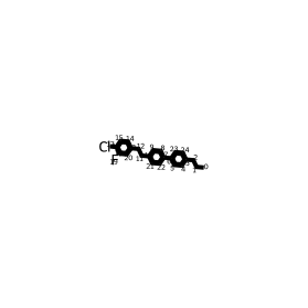 CCCc1ccc(-c2ccc(CCc3ccc(Cl)c(F)c3)cc2)cc1